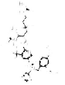 COc1ccc(CN(c2ncns2)S(=O)(=O)c2cnc(NC[C@H](CC(C)(C)CCNC(=O)O)[C@@H](C)NC(=O)O)c(C(F)(F)F)c2)c(OC)c1